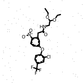 CCOC(CNC(=O)Cc1cc(Oc2ccc(C(F)(F)F)cc2Cl)ccc1[N+](=O)[O-])OCC